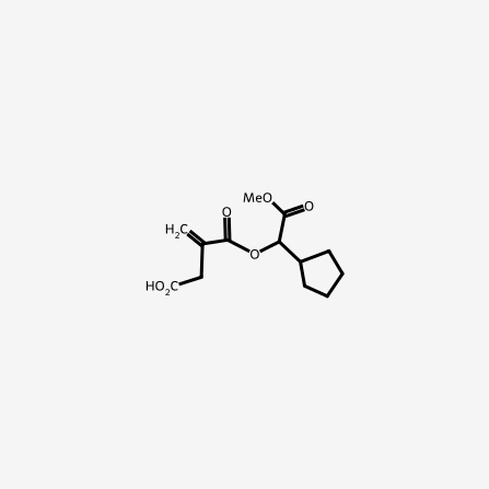 C=C(CC(=O)O)C(=O)OC(C(=O)OC)C1CCCC1